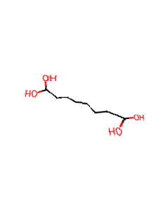 OC(O)CCCCCCC(O)O